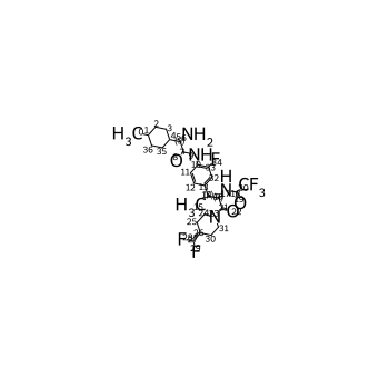 CC1CCC([C@H](N)C(=O)Nc2ccc([C@H](C)[C@@H](NC(=O)C(F)(F)F)C(=O)N3CCC(=C(F)F)CC3)cc2F)CC1